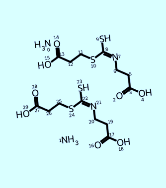 N.N.O=C(O)CCN=C(S)SCCC(=O)O.O=C(O)CCN=C(S)SCCC(=O)O